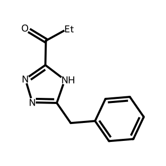 CCC(=O)c1nnc(Cc2ccccc2)[nH]1